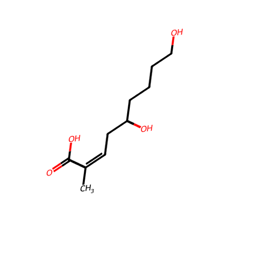 CC(=CCC(O)CCCCO)C(=O)O